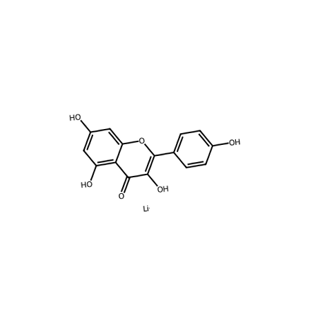 O=c1c(O)c(-c2ccc(O)cc2)oc2cc(O)cc(O)c12.[Li]